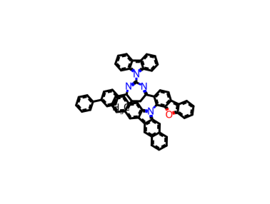 CC1CC(c2ccc3c(oc4ccccc43)c2-n2c3cc4ccccc4cc3c3cc4ccccc4cc32)=NC(n2c3ccccc3c3ccccc32)=NC1c1ccc(-c2ccccc2)cc1